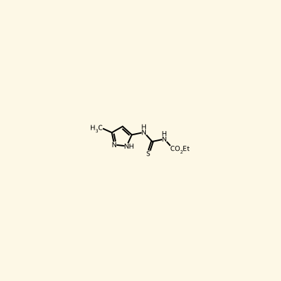 CCOC(=O)NC(=S)Nc1cc(C)n[nH]1